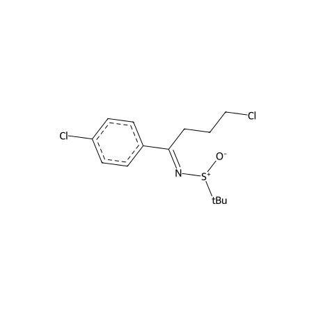 CC(C)(C)[S+]([O-])/N=C(\CCCCl)c1ccc(Cl)cc1